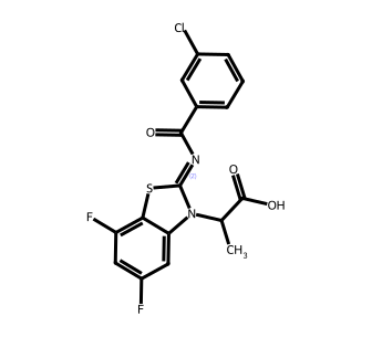 CC(C(=O)O)n1/c(=N/C(=O)c2cccc(Cl)c2)sc2c(F)cc(F)cc21